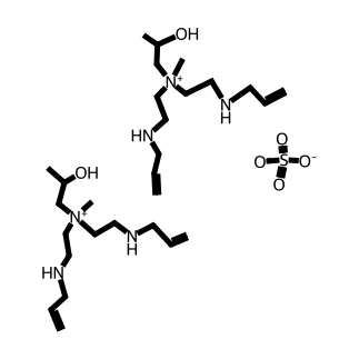 C=CCNCC[N+](C)(CCNCC=C)CC(C)O.C=CCNCC[N+](C)(CCNCC=C)CC(C)O.O=S(=O)([O-])[O-]